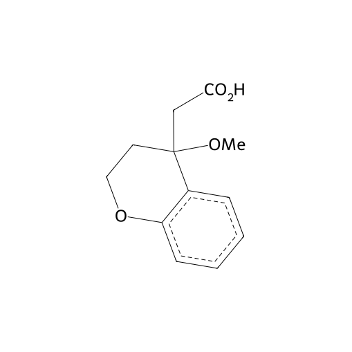 COC1(CC(=O)O)CCOc2ccccc21